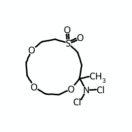 CC1(N(Cl)Cl)CCS(=O)(=O)CCOCCOCCO1